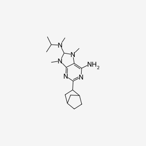 CC(C)N(C)C1N(C)c2nc(C3CC4CCC3C4)nc(N)c2N1C